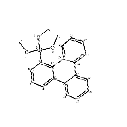 CO[Si](OC)(OC)c1cccc2c3ccccc3c3ccccc3c12